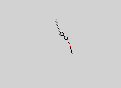 CCCCCCCCCc1ccc(-c2ccc(OCCOCCCCCC)cn2)cc1